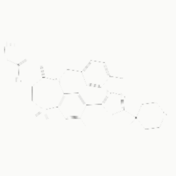 CC(C)(C)OC(=O)N[C@H]1CS(=O)(=O)c2cc(F)c(-c3nnc(C4(C)CCNCC4)o3)cc2N(Cc2ccc(Cl)cc2)C1=O